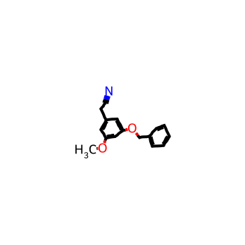 COc1cc(CC#N)cc(OCc2ccccc2)c1